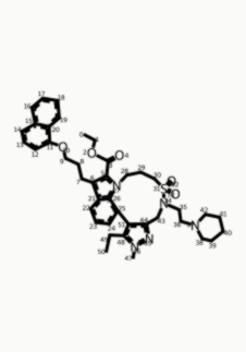 CCOC(=O)c1c(CCCOc2cccc3ccccc23)c2cccc3c2n1CCCS(=O)(=O)N(CCN1CCCCC1)Cc1nn(C)c(CC)c1-3